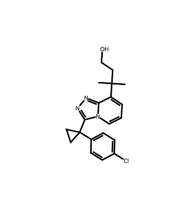 CC(C)(CCO)c1cccn2c(C3(c4ccc(Cl)cc4)CC3)nnc12